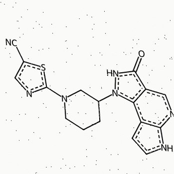 N#Cc1cnc(N2CCCC(n3[nH]c(=O)c4cnc5[nH]ccc5c43)C2)s1